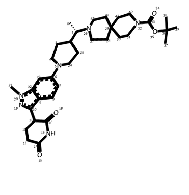 C[C@@H](C1CCN(c2ccc3c(C4CCC(=O)NC4=O)nn(C)c3c2)CC1)N1CCC2(CCN(C(=O)OC(C)(C)C)CC2)CC1